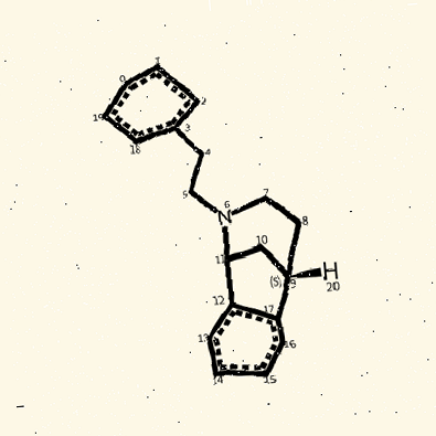 c1ccc(CCN2CC[C@H]3CC2c2ccccc23)cc1